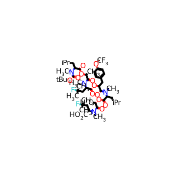 CC(C)CC(C(=O)OC(C)C(=O)N(C)C(CC(C)(C)F)C(=O)OC(Cc1ccc(OC(F)(F)F)cc1)C(=O)N(C)C(CC(C)C)C(=O)OC(C)C(=O)N(C)C(CC(C)(C)F)C(=O)O)N(C)C(=O)OC(C)(C)C